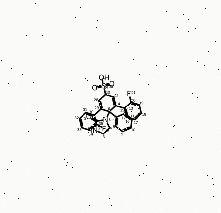 O=C1NCCN1C1(c2ccccc2F)C(c2ccccc2F)=CC(S(=O)(=O)O)C=C1c1ccccc1F